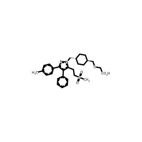 Cc1ccc(-c2nn(C[C@H]3CC[C@H](COCC(=O)O)CC3)c(CCS(C)(=O)=O)c2-c2ccccc2)cc1